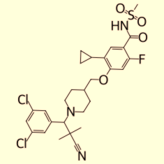 CC(C)(C#N)C(c1cc(Cl)cc(Cl)c1)N1CCC(COc2cc(F)c(C(=O)NS(C)(=O)=O)cc2C2CC2)CC1